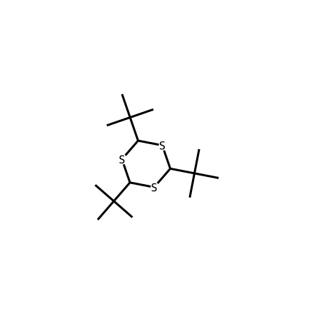 CC(C)(C)C1SC(C(C)(C)C)SC(C(C)(C)C)S1